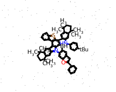 CC(C)(C)c1ccc(Nc2cc3c(cc2-c2c4c5c(c6cc7c(cc6n5-c5cc6oc(-c8ccccc8)cc6cc5B4)C(C)(C)CCC7(C)C)c4c2sc2ccccc24)C(C)(C)CCC3(C)C)cc1